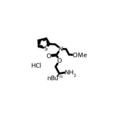 CCCC[C@H](N)COC(=O)N(CCOC)Cc1cccs1.Cl